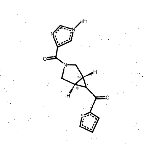 CC(C)n1cnc(C(=O)N2C[C@@H]3C(C(=O)c4cccs4)[C@@H]3C2)c1